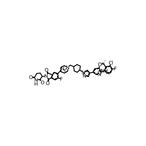 C[C@@H](Oc1cc(-c2cnn(C3CCC(CN4CC5CCC4CN5c4cc5c(cc4F)C(=O)N(C4CCC(=O)NC4=O)C5=O)CC3)c2)cnc1N)c1c(Cl)ccc(F)c1Cl